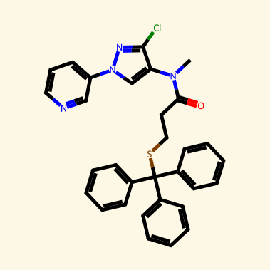 CN(C(=O)CCSC(c1ccccc1)(c1ccccc1)c1ccccc1)c1cn(-c2cccnc2)nc1Cl